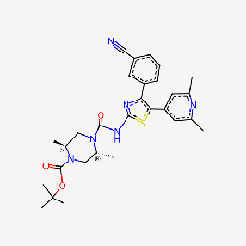 Cc1cc(-c2sc(NC(=O)N3C[C@H](C)N(C(=O)OC(C)(C)C)C[C@H]3C)nc2-c2cccc(C#N)c2)cc(C)n1